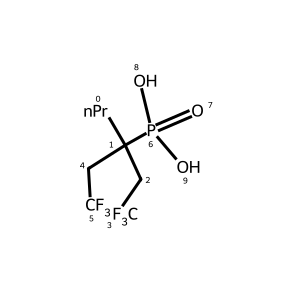 CCCC(CC(F)(F)F)(CC(F)(F)F)P(=O)(O)O